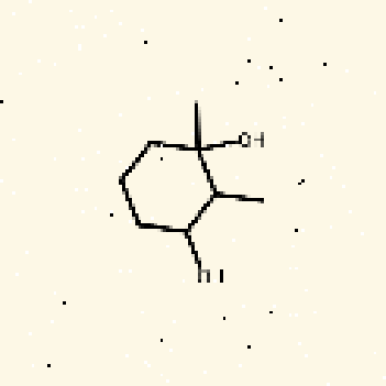 CC1C(O)CCCC1(C)O